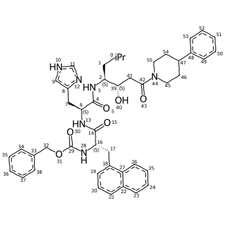 CC(C)C[C@H](NC(=O)[C@H](Cc1c[nH]cn1)NC(=O)[C@H](Cc1cccc2ccccc12)NC(=O)OCc1ccccc1)[C@@H](O)CC(=O)N1CCC(c2ccccc2)CC1